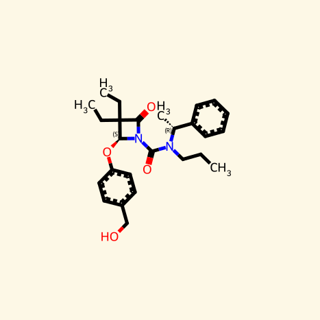 CCCN(C(=O)N1C(=O)C(CC)(CC)[C@@H]1Oc1ccc(CO)cc1)[C@H](C)c1ccccc1